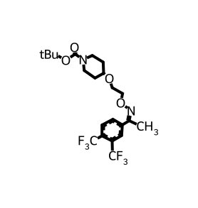 CC(=NOCCOC1CCN(C(=O)OC(C)(C)C)CC1)c1ccc(C(F)(F)F)c(C(F)(F)F)c1